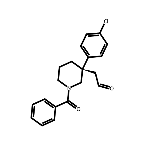 O=CC[C@]1(c2ccc(Cl)cc2)CCCN(C(=O)c2ccccc2)C1